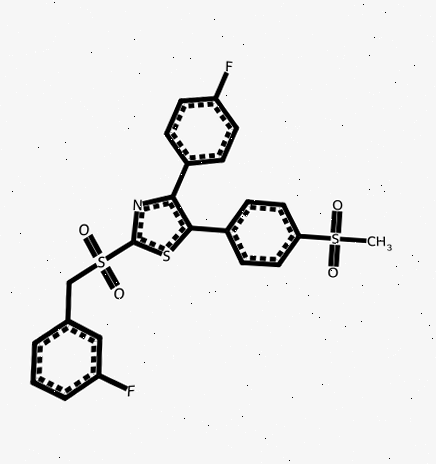 CS(=O)(=O)c1ccc(-c2sc(S(=O)(=O)Cc3cccc(F)c3)nc2-c2ccc(F)cc2)cc1